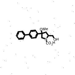 COC1(c2ccc(-c3ccccc3)cc2)CC(CO)N(C(=O)O)C1